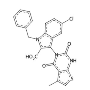 Cc1csc2[nH]c(=O)n(-c3c(C(=O)O)n(Cc4ccccc4)c4ccc(Cl)cc34)c(=O)c12